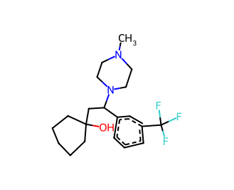 CN1CCN(C(CC2(O)CCCCC2)c2cccc(C(F)(F)F)c2)CC1